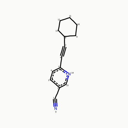 N#Cc1ccc(C#CC2CCCCC2)nc1